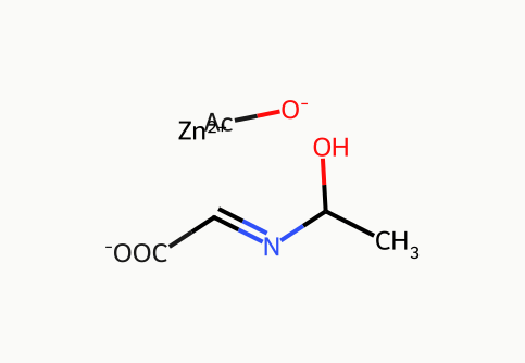 CC(=O)[O-].CC(O)N=CC(=O)[O-].[Zn+2]